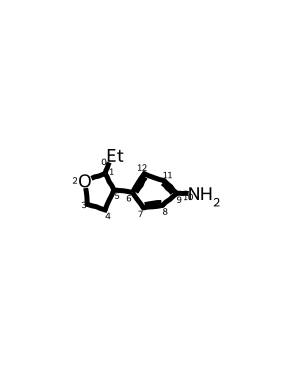 CCC1OCCC1c1ccc(N)cc1